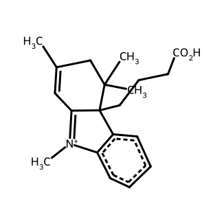 CC1=CC2=[N+](C)c3ccccc3C2(CCCC(=O)O)C(C)(C)C1